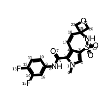 Cn1cc2c(c1C(=O)Nc1ccc(F)c(F)c1)C=CC1(COC1)NS2(=O)=O